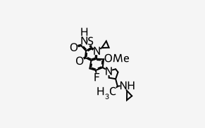 COc1c(N2CCC(C(C)NC3CC3)C2)c(F)cc2c(=O)c3c(=O)[nH]sc3n(C3CC3)c12